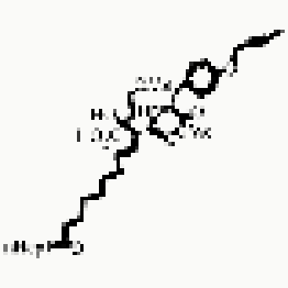 CC#CCOc1ccc(C[C@H](NC(=O)[C@@H](/C=C/CCCCCCC(=O)CCCCCCC)[C@@](O)(CCOC)C(=O)O)C(=O)OC)cc1